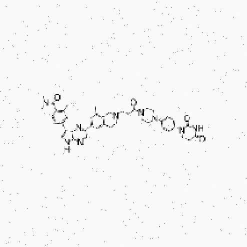 Cc1cc(-c2c[nH]c3ncc(-c4cc(C)c5c(c4)CCN(CCC(=O)N4CCN(c6ccc(N7CCC(=O)NC7=O)cc6)CC4)C5)nc23)ccc1C(=O)N(C)C